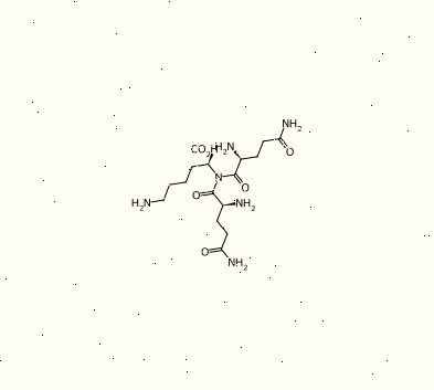 NCCCC[C@@H](C(=O)O)N(C(=O)[C@@H](N)CCC(N)=O)C(=O)[C@@H](N)CCC(N)=O